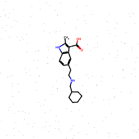 Cc1[nH]c2ccc(CCNCC3CCCCC3)cc2c1C(=O)O